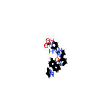 Cc1ccc2c(-n3nccc3C)cccc2c1Oc1ncccc1-c1ccnc(NC2CCCN(C(=O)O)C2)n1